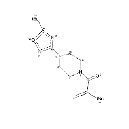 C=C(C(=O)N1CCN(c2noc(C(C)(C)C)n2)CC1)C(C)(C)C